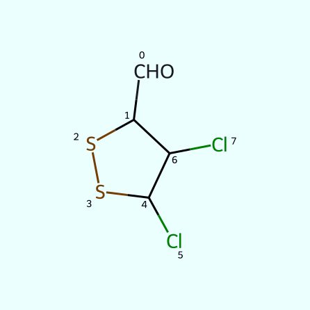 O=CC1SSC(Cl)C1Cl